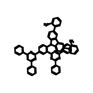 Cc1ccccc1-c1ccc2c(c1)c1cc(-c3ccccc3C)ccc1n2-c1ccc(-c2nc(-c3ccccc3)cc(-c3ccccc3)n2)cc1-c1nc(-c2ccccc2)nc(-c2ccccc2)n1